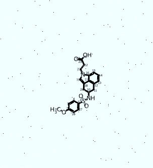 COc1ccc(S(=O)(=O)NC2Cc3cccc4c3c(cn4CCC(=O)O)C2)cc1